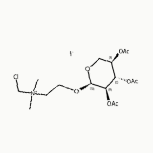 CC(=O)O[C@@H]1[C@@H](OC(C)=O)[C@@H](OCC[N+](C)(C)CCl)OC[C@H]1OC(C)=O.[I-]